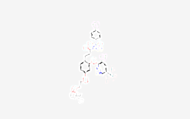 COCCOc1ccc(C=CC(=O)NS(=O)(=O)c2ccc(Cl)cc2)c(Oc2ncc(C(F)(F)F)cc2Cl)c1